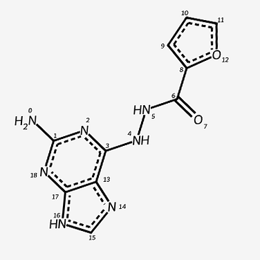 Nc1nc(NNC(=O)c2ccco2)c2nc[nH]c2n1